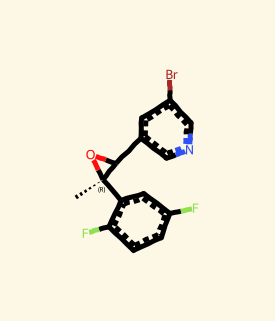 C[C@]1(c2cc(F)ccc2F)OC1c1cncc(Br)c1